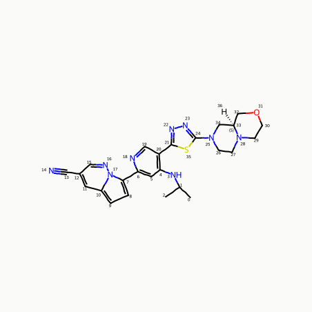 CC(C)Nc1cc(-c2ccc3cc(C#N)cnn23)ncc1-c1nnc(N2CCN3CCOC[C@@H]3C2)s1